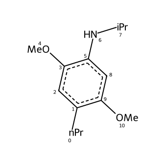 CCCc1cc(OC)c(NC(C)C)cc1OC